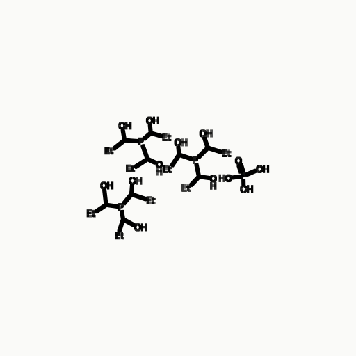 CCC(O)P(C(O)CC)C(O)CC.CCC(O)P(C(O)CC)C(O)CC.CCC(O)P(C(O)CC)C(O)CC.O=P(O)(O)O